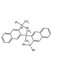 CC(C)P(c1cc2ccccc2cc1S(C)(C)c1cc2ccccc2cc1[PH](C)(C(C)C)C(C)C)C(C)C